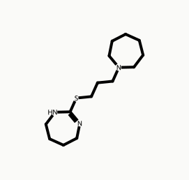 C1CCCN(CCCSC2=NCCCCN2)CC1